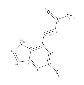 CC(=O)/C=C/c1cc(Cl)cc2cc[nH]c12